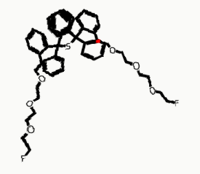 FCCOCCOCCOCCc1ccccc1C(SC(c1ccccc1)(c1ccccc1)c1ccccc1CCOCCOCCOCCF)(c1ccccc1)c1ccccc1